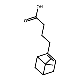 CC1(C)C2CC=C(CCCC(=O)O)C1C2